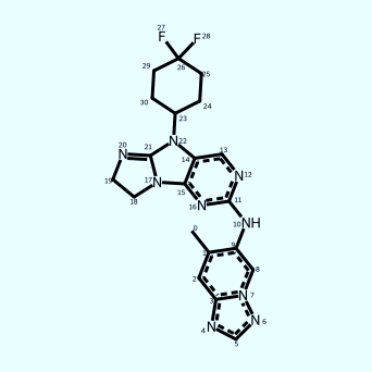 Cc1cc2ncnn2cc1Nc1ncc2c(n1)N1CCN=C1N2C1CCC(F)(F)CC1